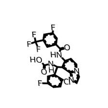 O=C(O)NC(c1cc(F)ccc1Cl)c1c(NC(=O)c2cc(F)cc(C(F)(F)F)c2)ccn2ccnc12